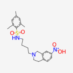 Cc1cc(C)c(S(=O)(=O)NCCCCN2CCc3ccc([N+](=O)O)cc3C2)c(C)c1